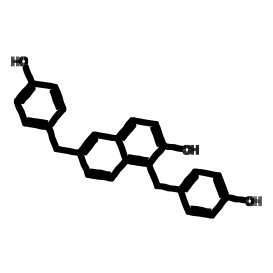 Oc1ccc(Cc2ccc3c(Cc4ccc(O)cc4)c(O)ccc3c2)cc1